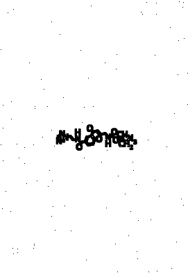 CC(C)(C)OC(=O)NCc1cc(=O)c2cc(C(=O)NCCn3cncn3)ccc2o1